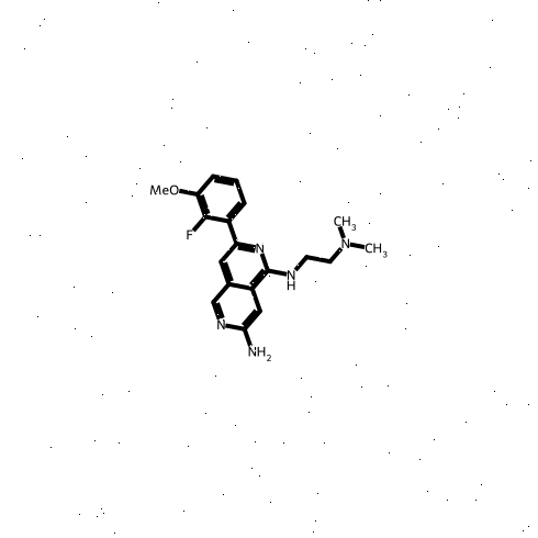 COc1cccc(-c2cc3cnc(N)cc3c(NCCN(C)C)n2)c1F